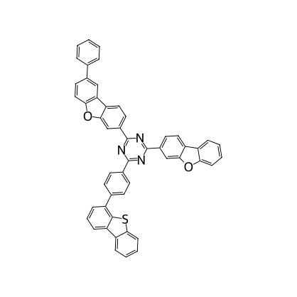 c1ccc(-c2ccc3oc4cc(-c5nc(-c6ccc(-c7cccc8c7sc7ccccc78)cc6)nc(-c6ccc7c(c6)oc6ccccc67)n5)ccc4c3c2)cc1